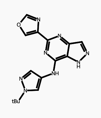 CC(C)(C)n1cc(Nc2nc(-c3cocn3)nc3cn[nH]c23)cn1